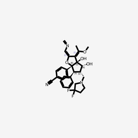 C=N/C=C1/O[C@@]2(c3ccc(C#N)cc3)[C@H](c3ccccc3)[C@@H](CN3CCC(F)(F)C3)[C@@H](O)[C@@]2(O)/C1=C(/C)OC